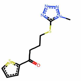 Cn1nnnc1SCCCC(=O)c1cccs1